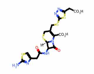 Nc1nc(CC(=O)NC2C(=O)N3C(C(=O)O)=C(CSc4nnc(CC(=O)O)s4)CS[C@H]23)cs1